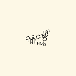 Cc1ccccc1NC(=O)Nc1ccc(CC(=O)C(F)(Oc2ccc(C(=O)O)cc2)N2CCCC2)cc1